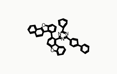 c1ccc(-c2ccc(-c3nc(-c4ccccc4)nc(-c4c(-c5cccc6oc7c8ccccc8ccc7c56)ccc5oc6ccccc6c45)n3)cc2)cc1